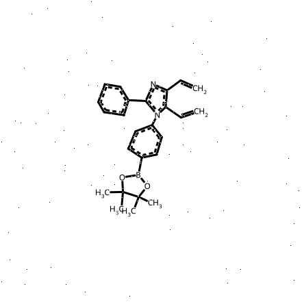 C=Cc1nc(-c2ccccc2)n(-c2ccc(B3OC(C)(C)C(C)(C)O3)cc2)c1C=C